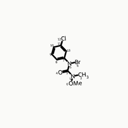 CON(C)C(=O)N(Br)c1cccc(Cl)c1